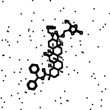 COCO[C@H]1CC[C@@]2(C)[C@@H](CC[C@]3(C)[C@@H]2C(=O)C=C2[C@@H]4C[C@@](C)(C(=O)OC(c5ccccc5)c5ccccc5)CC[C@]4(C)CC[C@]23C)[C@]1(C)C(=O)OCc1oc(=O)oc1C(C)C